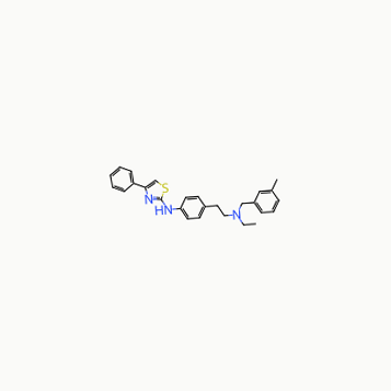 CCN(CCc1ccc(Nc2nc(-c3ccccc3)cs2)cc1)Cc1cccc(C)c1